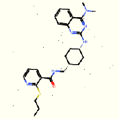 CCCSc1ncccc1C(=O)NC[C@H]1CC[C@@H](Nc2nc(N(C)C)c3ccccc3n2)CC1